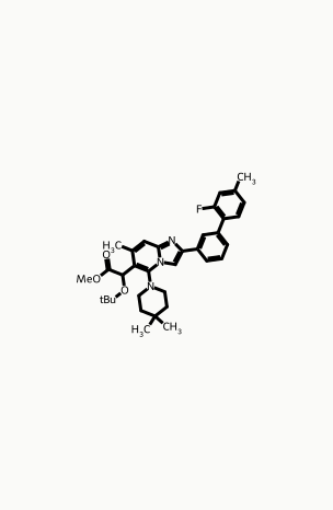 COC(=O)C(OC(C)(C)C)c1c(C)cc2nc(-c3cccc(-c4ccc(C)cc4F)c3)cn2c1N1CCC(C)(C)CC1